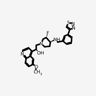 COc1ccc2nccc([C@H](O)CN3CC[C@H](NCc4cccc(-c5csnn5)c4)[C@@H](F)C3)c2c1